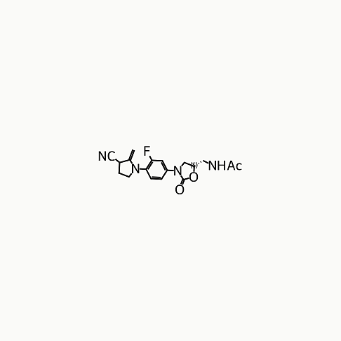 C=C1C(C#N)CCN1c1ccc(N2C[C@H](CNC(C)=O)OC2=O)cc1F